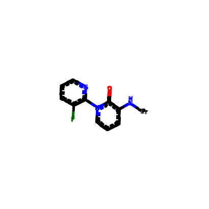 CC(C)Nc1cccn(-c2ncccc2F)c1=O